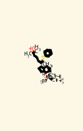 CC(C)(O)CCCC(CSc1ccccc1)[C@H]1CC[C@H]2[C@@H](O[Si](C)(C)C(C)(C)C)CCC[C@]12C